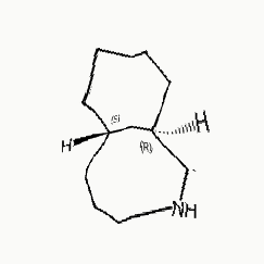 [CH]1NCC[C@@H]2CCCC[C@@H]12